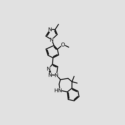 COc1cc(-c2cn(C3CNc4ccccc4C(C)(C)C3)nn2)ccc1-n1cnc(C)c1